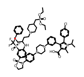 CCOP(=O)(CC1CCN(CCC(CSc2ccccc2)Nc2ccc([P@]3(=O)OCCN3c3ccc(N4CCN(c5cccc(-c6c(C(=O)O)c(C)n(C(C)C)c6-c6ccc(Cl)cc6)c5)CC4)cc3)cc2S(=O)(=O)C(F)(F)F)CC1)OCC